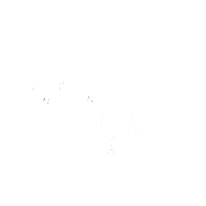 CC1(C)CCc2nc(-c3ccccn3)ccc2C1=O